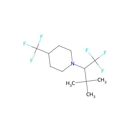 CC(C)(C)C(N1CCC(C(F)(F)F)CC1)C(F)(F)F